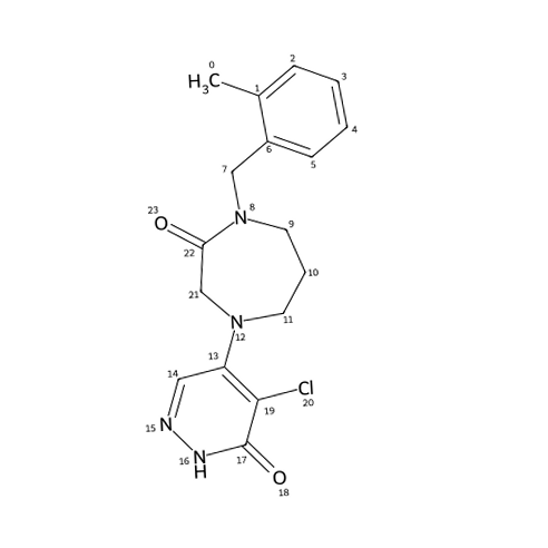 Cc1ccccc1CN1CCCN(c2cn[nH]c(=O)c2Cl)CC1=O